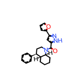 O=C(c1cc(-c2ccco2)n[nH]1)N1CC[C@H](c2ccccc2)[C@H]2CCCC[C@H]21